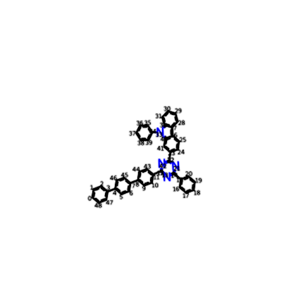 c1ccc(-c2ccc(-c3ccc(-c4nc(-c5ccccc5)nc(-c5ccc6c7ccccc7n(-c7ccccc7)c6c5)n4)cc3)cc2)cc1